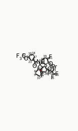 CC(C)Oc1cc(C(Cc2ccccc2)(NC(=O)c2cccc(OC(F)(F)F)c2)c2cc(F)cc(OC(F)(F)C(F)F)c2)ccc1F